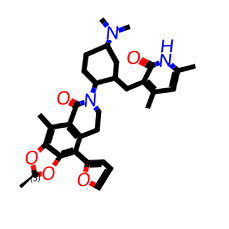 Cc1cc(C)c(CC2CC(N(C)C)CCC2N2CCc3c(c(C)c4c(c3-c3ccco3)O[C@@H](C)O4)C2=O)c(=O)[nH]1